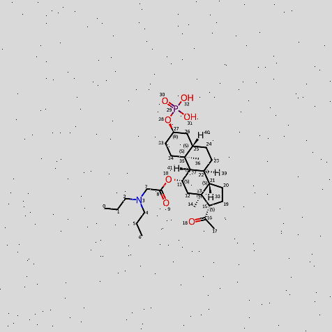 CCCN(CCC)CC(=O)O[C@H]1C[C@]2(C)[C@@H](C(C)=O)CC[C@H]2[C@@H]2CC[C@H]3C[C@H](OP(=O)(O)O)CC[C@]3(C)[C@H]21